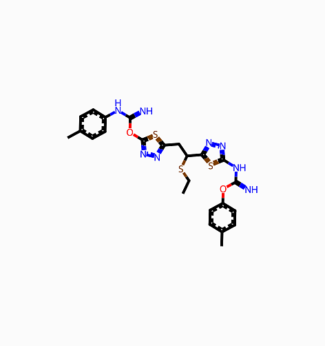 CCSC(Cc1nnc(OC(=N)Nc2ccc(C)cc2)s1)c1nnc(NC(=N)Oc2ccc(C)cc2)s1